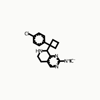 [C-]#[N+]c1ncc2c(n1)C(C1(c3ccc(Cl)cc3)CCC1)NCC2